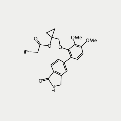 COc1ccc(-c2ccc3c(c2)CNC3=O)c(OCC2(OC(=O)CC(C)C)CC2)c1OC